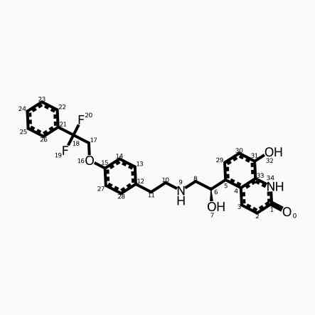 O=c1ccc2c([C@@H](O)CNCCc3ccc(OCC(F)(F)c4ccccc4)cc3)ccc(O)c2[nH]1